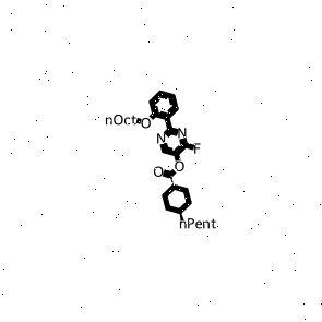 CCCCCCCCOc1ccccc1-c1ncc(OC(=O)[C@H]2CC[C@H](CCCCC)CC2)c(F)n1